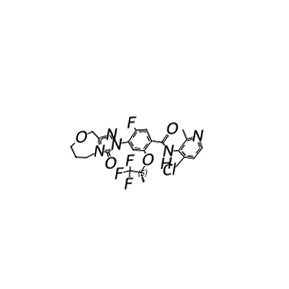 Cc1nccc(Cl)c1NC(=O)c1cc(F)c(-n2nc3n(c2=O)CCCOC3)cc1O[C@@H](C)C(F)(F)F